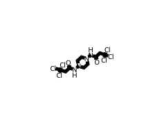 O=C(CC(Cl)(Cl)Cl)NN1CCN(NC(=O)CC(Cl)(Cl)Cl)CC1